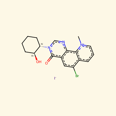 C[n+]1cccc2c(Br)cc3c(=O)n([C@H]4CCCC[C@@H]4O)cnc3c21.[I-]